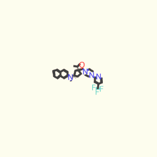 CC(C)[C@]1(C(=O)N2CCN(c3cc(C(F)(F)F)ccn3)CC2)CC[C@@H](N(C)c2ccc3ccccc3c2)C1